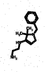 CC1(C)C(NCCN)=CCN1Cc1ccccc1